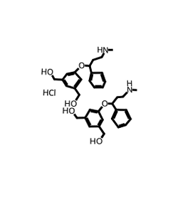 CNCCC(Oc1cc(CO)cc(CO)c1)c1ccccc1.CNCCC(Oc1cc(CO)cc(CO)c1)c1ccccc1.Cl